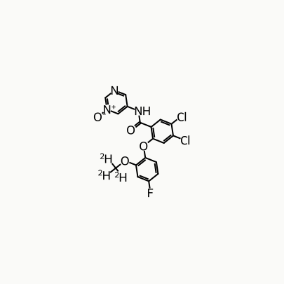 [2H]C([2H])([2H])Oc1cc(F)ccc1Oc1cc(Cl)c(Cl)cc1C(=O)Nc1cnc[n+]([O-])c1